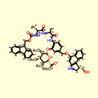 COC(=O)[C@H]1O[C@@H](Oc2cc(COc3cc4c(c5ccccc35)[C@H](CO)CN4)ccc2NC(=O)C(C)NC(=O)C(NC(=O)OCC2c3ccccc3-c3ccccc32)C(C)C)[C@H](OC(C)=O)[C@@H](OC(C)=O)[C@@H]1OC(C)=O